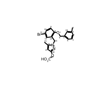 Cc1cccc(COc2ccc(Br)cc2Cn2nc(OC(=O)O)cc2C)c1